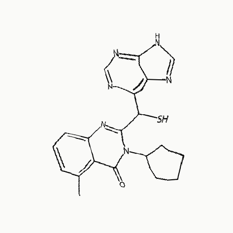 Cc1cccc2nc(C(S)c3ncnc4[nH]cnc34)n(C3CCCC3)c(=O)c12